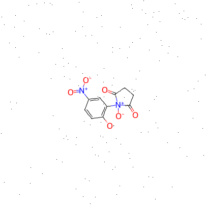 [O]c1ccc([N+](=O)[O-])cc1[N+]1([O-])C(=O)CCC1=O